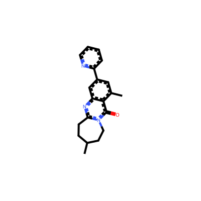 Cc1cc(-c2ccccn2)cc2nc3n(c(=O)c12)CCC(C)CC3